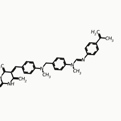 C=C1NC(=C)C(=Cc2ccc(N(C)Cc3ccc(N(C)/C=N/c4ccc(C(=C)C)cc4)cc3)cc2)C(=C)N1